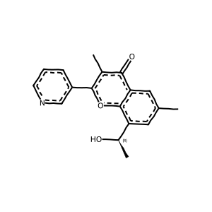 Cc1cc([C@@H](C)O)c2oc(-c3cccnc3)c(C)c(=O)c2c1